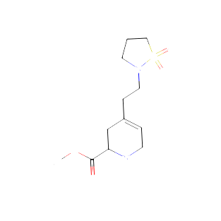 COC(=O)C1CC(CCN2CCCS2(=O)=O)=CCN1